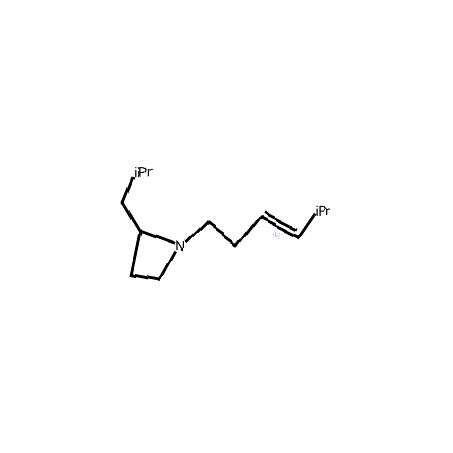 CC(C)/C=C/CCN1CCC1CC(C)C